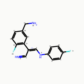 N=C/C(=C\Nc1ccc(F)cc1)c1cc(CN)ccc1F